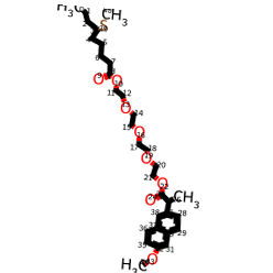 CCCC(CCCCC(=O)OCCOCCOCCOCCOC(=O)C(C)c1ccc2cc(OC)ccc2c1)SC